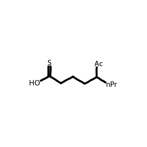 CCCC(CCCC(O)=S)C(C)=O